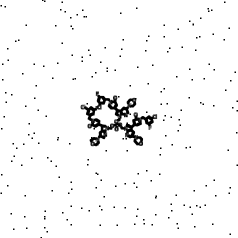 O=c1cc(-c2cn(COP(=O)(OCn3cc(-c4ccn(Cc5cc(F)cc(Cl)c5)c(=O)c4)c4cc(N5CCOCC5)cnc43)OCn3cc(-c4ccn(Cc5cc(F)cc(Cl)c5)c(=O)c4)c4cc(N5CCOCC5)cnc43)c3ncc(N4CCOCC4)cc23)ccn1Cc1cc(F)cc(Cl)c1